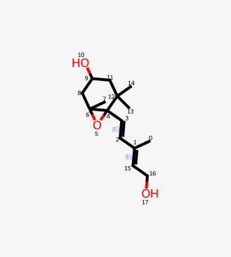 CC(/C=C/C12OC1(C)CC(O)CC2(C)C)=C\CO